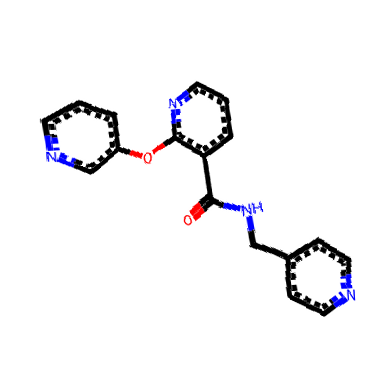 O=C(NCc1ccncc1)c1cccnc1Oc1cccnc1